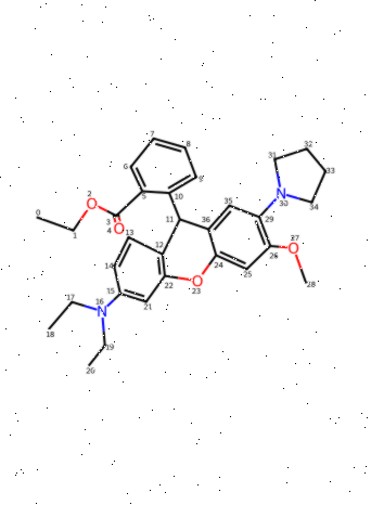 CCOC(=O)c1ccccc1C1c2ccc(N(CC)CC)cc2Oc2cc(OC)c(N3CCCC3)cc21